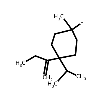 C=C(CC)C1(C(C)C)CCC(C)(F)CC1